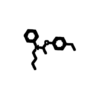 CCCCN(c1ccccc1)C(C)Oc1ccc(CC)cc1